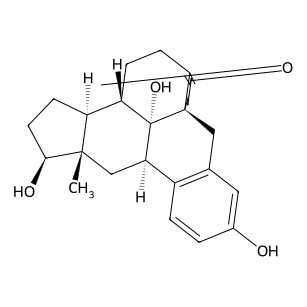 C[C@]12C[C@@H]3c4ccc(O)cc4C[C@]45CCC(=O)C=C4CC[C@@H]([C@@H]1CC[C@@H]2O)[C@]35O